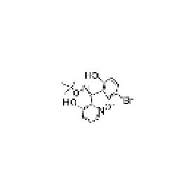 CC(C)(C)O/N=C(/c1cc(Br)ccc1O)c1c(O)ccc[n+]1[O-]